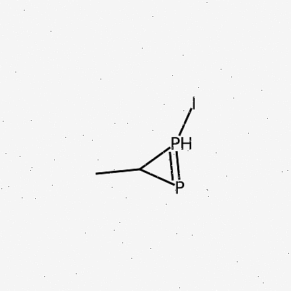 CC1P=[PH]1I